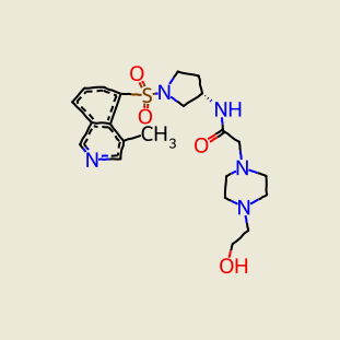 Cc1cncc2cccc(S(=O)(=O)N3CC[C@H](NC(=O)CN4CCN(CCO)CC4)C3)c12